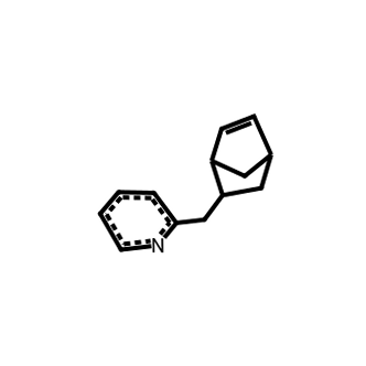 C1=CC2CC1CC2Cc1ccccn1